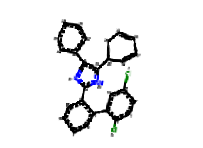 Clc1ccc(Cl)c(-c2ccccc2-c2nc(-c3ccccc3)c(C3C=CC=CC3)[nH]2)c1